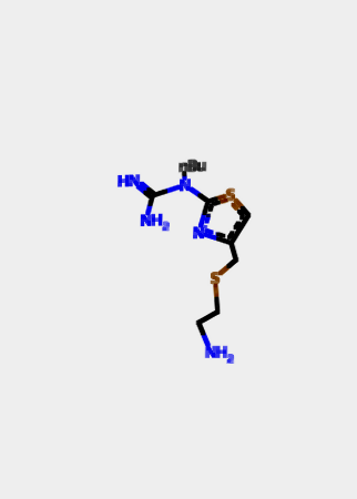 CCCCN(C(=N)N)c1nc(CSCCN)cs1